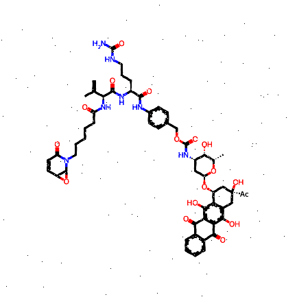 C=C(C)[C@H](NC(=O)CCCCCN1C(=O)C=CC2OC21)C(=O)N[C@@H](CCCNC(N)=O)C(=O)Nc1ccc(COC(=O)N[C@H]2C[C@H](O[C@H]3C[C@](O)(C(C)=O)Cc4c(O)c5c(c(O)c43)C(=O)c3ccccc3C5=O)O[C@@H](C)[C@H]2O)cc1